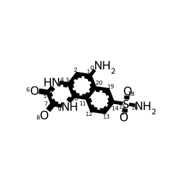 Nc1cc2[nH]c(=O)c(=O)[nH]c2c2ccc(S(N)(=O)=O)cc12